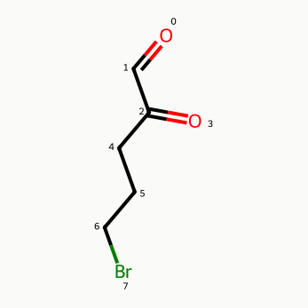 O=CC(=O)CCCBr